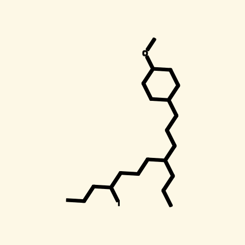 CCCC(I)CCCC(CCC)CCCC1CCC(OC)CC1